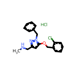 CNCc1cc(OCc2ccccc2Cl)n(Cc2ccccc2)n1.Cl